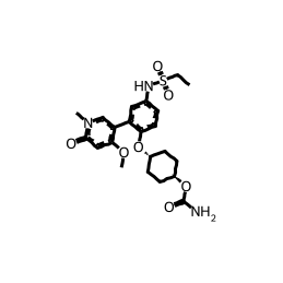 CCS(=O)(=O)Nc1ccc(O[C@H]2CC[C@H](OC(N)=O)CC2)c(-c2cn(C)c(=O)cc2OC)c1